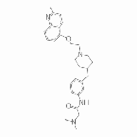 Cc1ccc2c(OCCN3CCC(Cc4cccc(NC(=O)CN(C)C)c4)CC3)cccc2n1